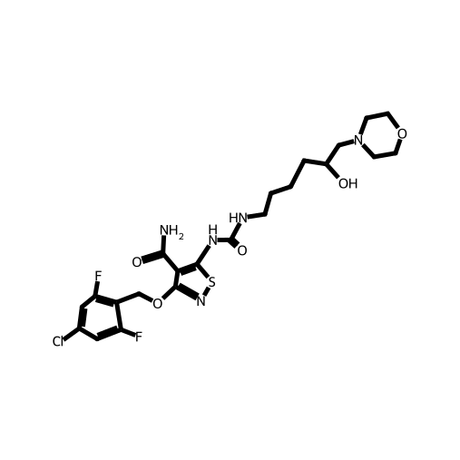 NC(=O)c1c(OCc2c(F)cc(Cl)cc2F)nsc1NC(=O)NCCCCC(O)CN1CCOCC1